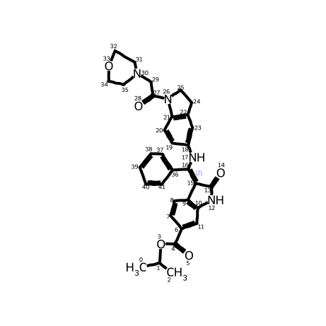 CC(C)OC(=O)c1ccc2c(c1)NC(=O)/C2=C(\Nc1ccc2c(c1)CCN2C(=O)CN1CCOCC1)c1ccccc1